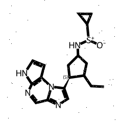 CCC1CC(N[S+]([O-])C2CC2)C[C@@H]1c1cnc2cnc3[nH]ccc3n12